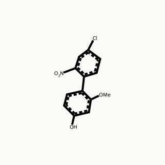 COc1cc(O)ccc1-c1ccc(Cl)cc1[N+](=O)[O-]